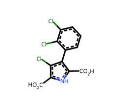 O=C(O)c1[nH]c(C(=O)O)c(-c2cccc(Cl)c2Cl)c1Cl